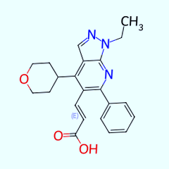 CCn1ncc2c(C3CCOCC3)c(/C=C/C(=O)O)c(-c3ccccc3)nc21